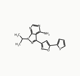 CC(C)n1nc(-c2cc(-c3cccs3)on2)c2c(N)ncnc21